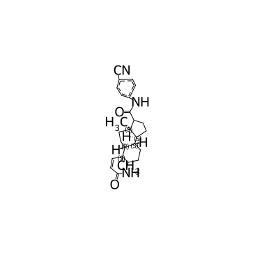 C[C@]12C=CC(=O)NC1CC[C@@H]1[C@H]2CC[C@]2(C)C(C(=O)Nc3ccc(C#N)cc3)CC[C@@H]12